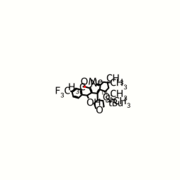 COC(C)c1nc2c(c(C3CCOCC3)c1C(O)c1ccc(C(F)(F)F)cc1)[C@@H](O[Si](C)(C)C(C)(C)C)CC(C)(C)C2